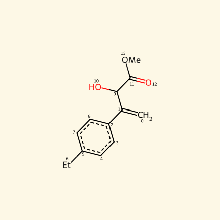 C=C(c1ccc(CC)cc1)C(O)C(=O)OC